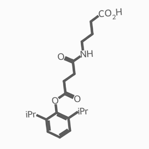 CC(C)c1cccc(C(C)C)c1OC(=O)CCC(=O)NCCCC(=O)O